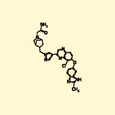 Cc1nc2ccc(Oc3ccc4ncc(-c5cnn(CC6CC7CC6CN7CC(N)=O)c5)nc4c3Cl)cc2[nH]1